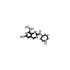 CC(C)Nc1nc(C#N)cc2cnc(N[C@H]3CCCNCC3)nc12